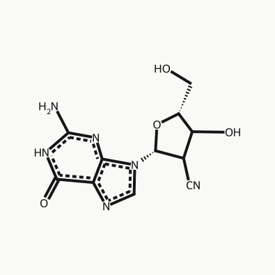 N#CC1C(O)[C@@H](CO)O[C@H]1n1cnc2c(=O)[nH]c(N)nc21